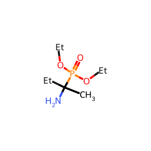 CCOP(=O)(OCC)C(C)(N)CC